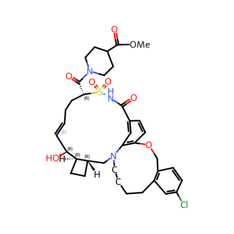 COC(=O)C1CCN(C(=O)[C@H]2CC/C=C/[C@H](O)[C@@H]3CC[C@H]3CN3CCCCc4cc(Cl)ccc4COc4ccc(cc43)C(=O)NS2(=O)=O)CC1